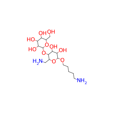 NCCCCCOC1OC(CN)C(OC2OC(CO)C(O)C(O)C2O)C(O)C1O